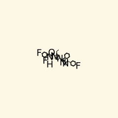 CC[C@H]1CN(c2nnc(-c3ccc(F)cc3)c3ccccc23)CCN1C(=O)Nc1ccc(F)cc1F